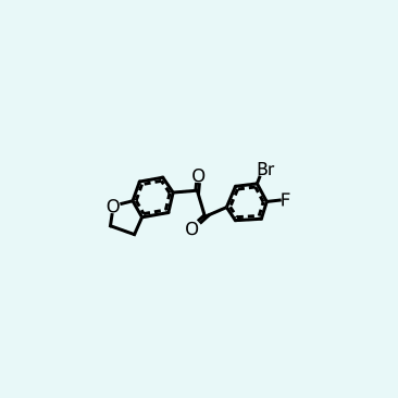 O=C(C(=O)c1ccc2c(c1)CCO2)c1ccc(F)c(Br)c1